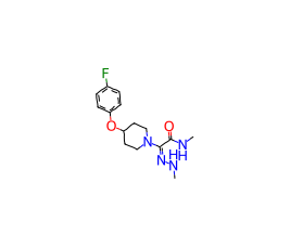 CN/N=C(\C(=O)NC)N1CCC(Oc2ccc(F)cc2)CC1